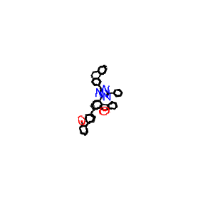 c1ccc(-c2nc(-c3ccc4c(c3)-c3ccccc3CC4)nc(-c3ccc(-c4ccc5c(c4)oc4ccccc45)c4oc5ccccc5c34)n2)cc1